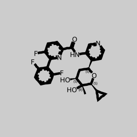 C[C@@]1(O)[C@@H](O)C[C@@H](c2ccncc2NC(=O)c2ccc(F)c(-c3c(F)cccc3F)n2)O[C@H]1C1CC1